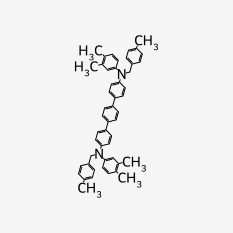 Cc1ccc(CN(c2ccc(-c3ccc(-c4ccc(N(Cc5ccc(C)cc5)c5ccc(C)c(C)c5)cc4)cc3)cc2)c2ccc(C)c(C)c2)cc1